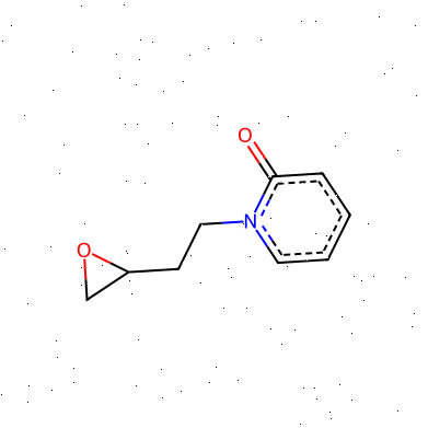 O=c1ccccn1CCC1CO1